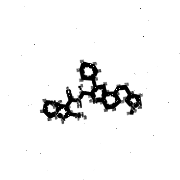 C[C@@H](NC(=O)c1c(N)nn2cccnc12)c1nc2cccc(/C=C\c3cnn(C)c3)c2cc1-c1ccccc1